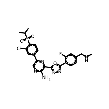 CNCc1ccc(-c2nnc(-c3nc(-c4ccc(S(=O)(=O)C(C)C)c(Cl)c4)cnc3N)o2)c(F)c1